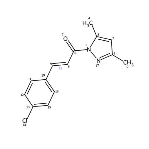 Cc1cc(C)n(C(=O)/C=C/c2ccc(Cl)cc2)n1